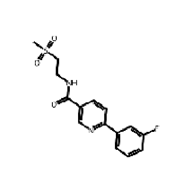 CS(=O)(=O)CCNC(=O)c1ccc(-c2cccc(F)c2)nc1